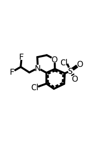 O=S(=O)(Cl)c1ccc(Cl)c2c1OCCN2CC(F)F